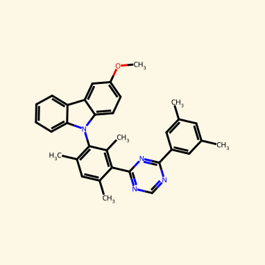 COc1ccc2c(c1)c1ccccc1n2-c1c(C)cc(C)c(-c2ncnc(-c3cc(C)cc(C)c3)n2)c1C